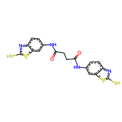 O=C(CCC(=O)Nc1ccc2nc(S)sc2c1)Nc1ccc2nc(S)sc2c1